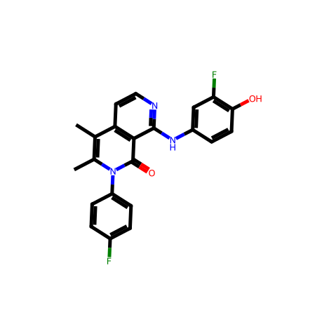 Cc1c(C)n(-c2ccc(F)cc2)c(=O)c2c(Nc3ccc(O)c(F)c3)nccc12